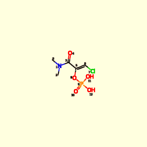 CN(C)C(=O)C(=CCl)OP(=O)(O)O